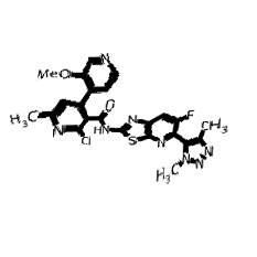 COc1cnccc1-c1cc(C)nc(Cl)c1C(=O)Nc1nc2cc(F)c(-c3c(C)nnn3C)nc2s1